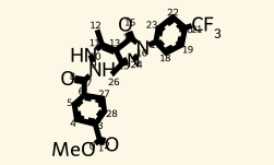 COC(=O)c1ccc(C(=O)NNC(C)=C2C(=O)N(c3ccc(C(F)(F)F)cc3)N=C2C)cc1